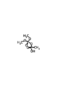 COP(=O)(OC)OP(C)(=O)O